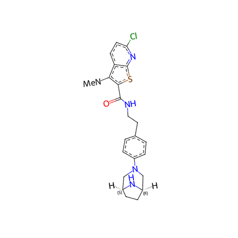 CNc1c(C(=O)NCCc2ccc(N3C[C@H]4CC[C@@H](C3)N4)cc2)sc2nc(Cl)ccc12